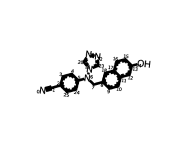 N#Cc1ccc(N(Cc2ccc3cc(O)ccc3c2)n2cnnc2)cc1